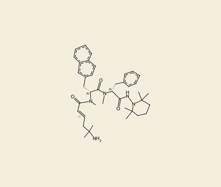 CN(C(=O)/C=C/CC(C)(C)N)[C@H](Cc1ccc2ccccc2c1)C(=O)N(C)[C@H](Cc1ccccc1)C(=O)NN1C(C)(C)CCCC1(C)C